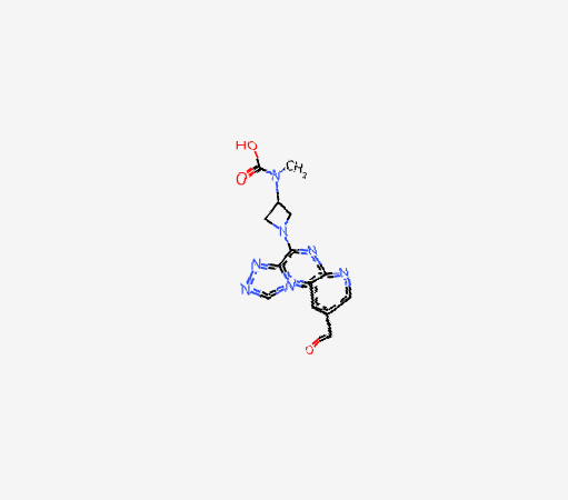 CN(C(=O)O)C1CN(c2nc3ncc(C=O)cc3n3cnnc23)C1